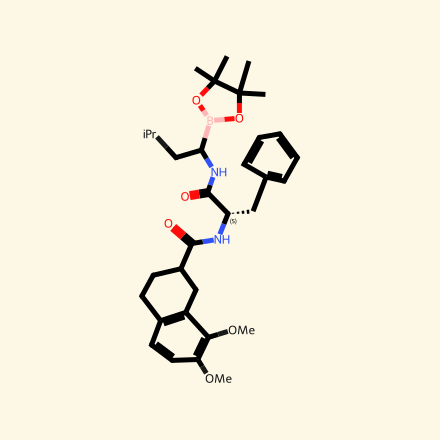 COc1ccc2c(c1OC)CC(C(=O)N[C@@H](Cc1ccccc1)C(=O)NC(CC(C)C)B1OC(C)(C)C(C)(C)O1)CC2